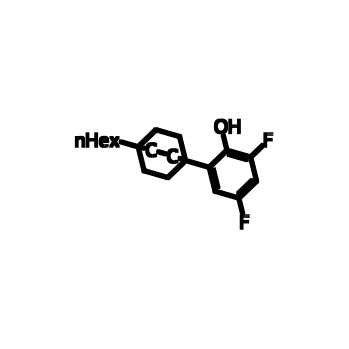 CCCCCCC12CCC(c3cc(F)cc(F)c3O)(CC1)CC2